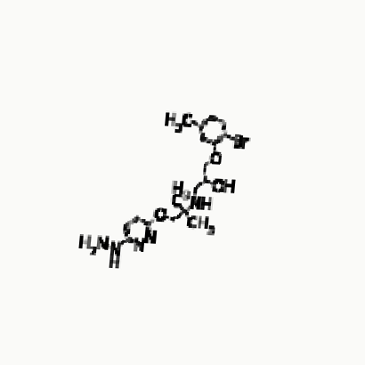 Cc1ccc(Br)c(OCC(O)CNC(C)(C)COc2ccc(NN)nn2)c1